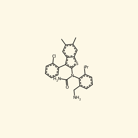 Cc1cc2sc(N(C(N)=O)c3c(CN)cccc3C(C)C)c(-c3ccccc3Cl)c2cc1C